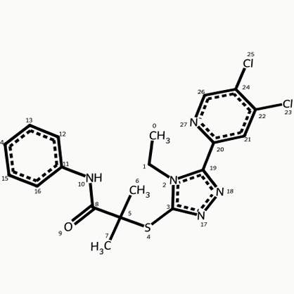 CCn1c(SC(C)(C)C(=O)Nc2ccccc2)nnc1-c1cc(Cl)c(Cl)cn1